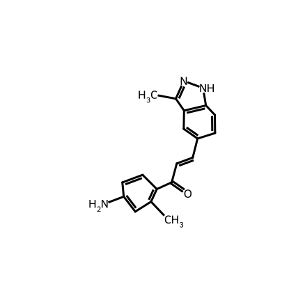 Cc1cc(N)ccc1C(=O)C=Cc1ccc2[nH]nc(C)c2c1